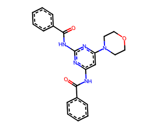 O=C(Nc1cc(N2CCOCC2)nc(NC(=O)c2ccccc2)n1)c1ccccc1